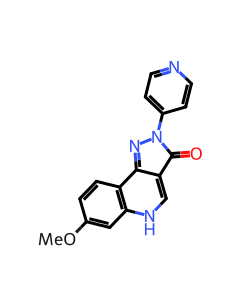 COc1ccc2c3nn(-c4ccncc4)c(=O)c-3c[nH]c2c1